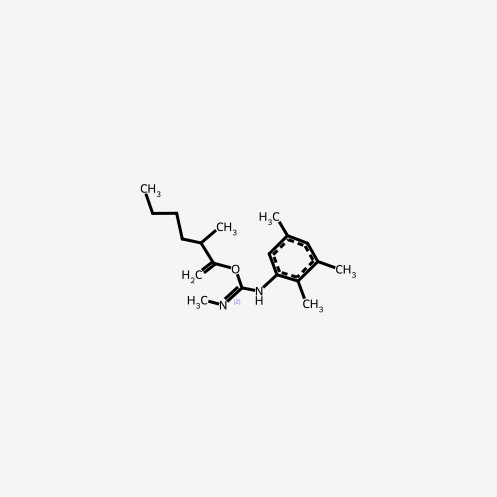 C=C(O/C(=N\C)Nc1cc(C)cc(C)c1C)C(C)CCCC